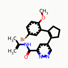 C=C(C)NC(=O)c1cc(C2=C(c3cc(Br)ccc3OC)CCC2)cnn1